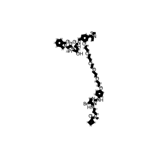 Cc1ncsc1-c1ccc(CNC(=O)[C@@H]2C[C@@H](O)CN2C(=O)[C@H](C(C)C)N2Cc3ccccc3C2=O)c(OCCCOCCCOCCOCCCOCCCOc2ccc(Nc3ncc(Br)c(NCCCN(C)C(=O)C4CCC4)n3)cc2)c1